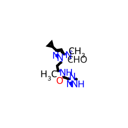 CC(CCn1nc(C2CC2)cc1N(C)C=O)NC(=O)c1nc[nH]n1